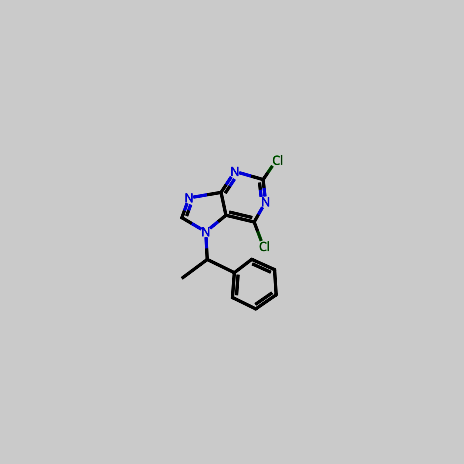 CC(c1ccccc1)n1cnc2nc(Cl)nc(Cl)c21